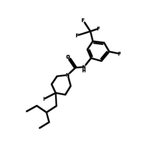 CCC(CC)CC1(I)CCN(C(=O)Nc2cc(F)cc(C(F)(F)F)c2)CC1